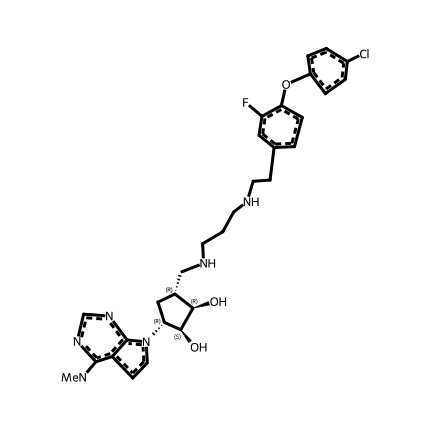 CNc1ncnc2c1ccn2[C@@H]1C[C@H](CNCCCNCCc2ccc(Oc3ccc(Cl)cc3)c(F)c2)[C@@H](O)[C@H]1O